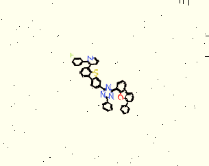 Fc1cccc(-c2ncccc2-c2cccc3c2sc2cc(-c4nc(-c5ccccc5)nc(-c5cccc6c5oc5c(-c7ccccc7)cccc56)n4)ccc23)c1